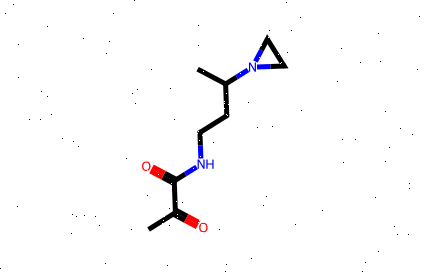 CC(=O)C(=O)NCCC(C)N1CC1